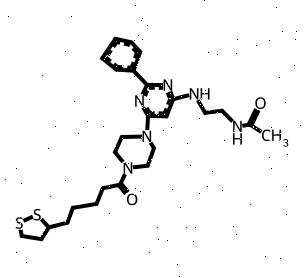 CC(=O)NCCNc1cc(N2CCN(C(=O)CCCCC3CCSS3)CC2)nc(-c2ccccc2)n1